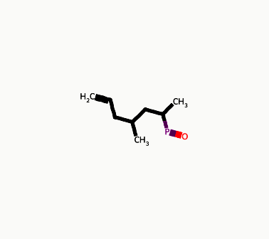 C=CCC(C)CC(C)P=O